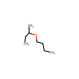 [CH2]C(CC)OCCCC